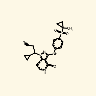 CC1(S(=O)(=O)c2ccc(Nc3nn(C(CC#N)C4CC4)c4cc[nH]c(=O)c34)cc2)CC1